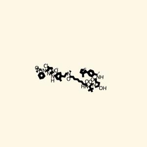 COc1cc(CCN(C)C(=O)CCCCCCC(=O)N[C@H](C(=O)N2C[C@H](O)CC2C(=O)N[C@@H](C)c2ccc(-c3sccc3C)cc2)C(C)(C)C)c(C)cc1Nc1ncc(Cl)c(Nc2ccccc2P(C)(C)=O)n1